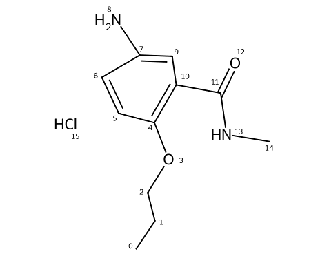 CCCOc1ccc(N)cc1C(=O)NC.Cl